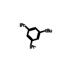 C[C](C)c1cc(C(C)C)cc(C(C)(C)C)c1